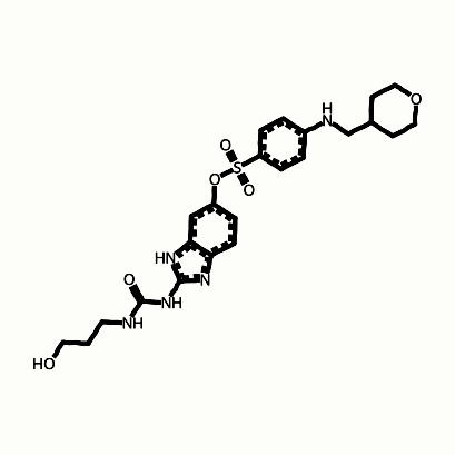 O=C(NCCCO)Nc1nc2ccc(OS(=O)(=O)c3ccc(NCC4CCOCC4)cc3)cc2[nH]1